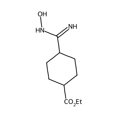 CCOC(=O)C1CCC(C(=N)NO)CC1